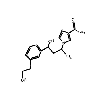 CC(CC(O)c1cccc(CCO)c1)n1cnc(C(N)=O)c1